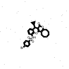 O=c1oc2c(c(O)c1C(c1cccc(NS(=O)(=O)c3ccc(Br)cc3)c1)C1CC1)CCCCCC2